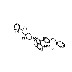 Nc1ncnc2c1c(-c1ccc(Oc3ccccc3)cc1)cn2[C@H]1CC[C@H](NC(=O)c2ccccn2)CC1